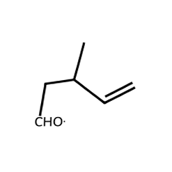 C=CC(C)C[C]=O